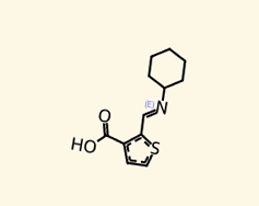 O=C(O)c1ccsc1/C=N/C1CCCCC1